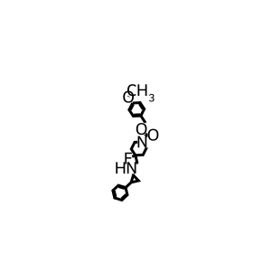 COc1ccc(COC(=O)N2CCC(F)(CNC3CC3c3ccccc3)CC2)cc1